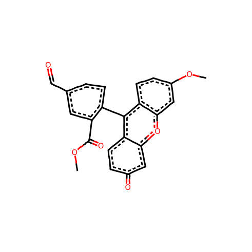 COC(=O)c1cc(C=O)ccc1-c1c2ccc(=O)cc-2oc2cc(OC)ccc12